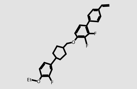 C=Cc1ccc(-c2ccc(OCC3CCC(c4ccc(OCC)c(F)c4)CC3)c(F)c2F)cc1